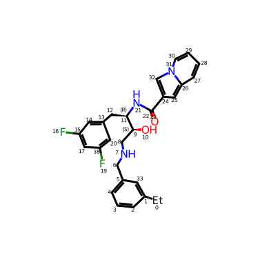 CCc1cccc(CNC[C@H](O)[C@@H](Cc2cc(F)cc(F)c2)NC(=O)c2cc3ccccn3c2)c1